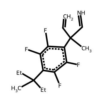 C=CC(C)(C=N)c1c(F)c(F)c(C(C)(CC)CC)c(F)c1F